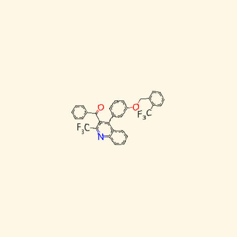 O=C(c1ccccc1)c1c(C(F)(F)F)nc2ccccc2c1-c1cccc(OCc2ccccc2C(F)(F)F)c1